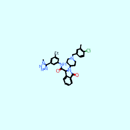 CCc1cc(NC(=O)C2c3ccccc3C(=O)N2C2CCN(Cc3ccc(Cl)c(C)c3)CC2)cc(-c2nnnn2C)c1